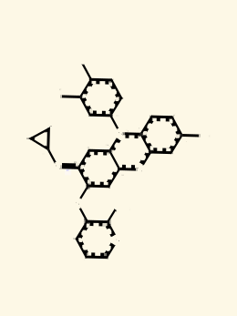 Cc1ncccc1Nc1cc2nc3cc(F)ccc3n(-c3ccc(Cl)c(Cl)c3)c-2c/c1=N\C1CC1